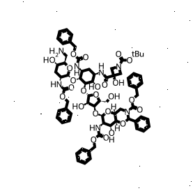 CC(C)(C)OC(=O)N1CC(O)(C(=O)N[C@@H]2C[C@H](NC(=O)OCc3ccccc3)[C@@H](O[C@H]3O[C@H](CN)[C@@H](O)C[C@H]3NC(=O)OCc3ccccc3)[C@H](O[C@@H]3O[C@H](CO)[C@@H](O[C@H]4O[C@H]5CN(C(=O)OCc6ccccc6)C(c6ccccc6)O[C@H]5[C@H](O)[C@H]4NC(=O)OCc4ccccc4)[C@H]3O)[C@H]2O)C1